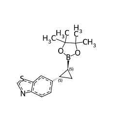 CC1(C)OB([C@H]2C[C@@H]2c2ccc3ncsc3c2)OC1(C)C